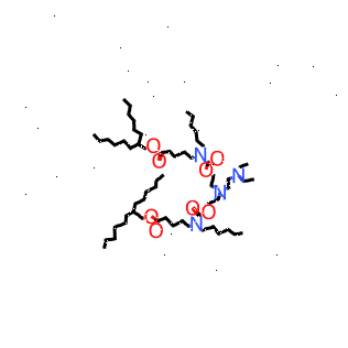 CCCCCCC(CCCCCC)COC(=O)CCCCN(CCCCCC)C(=O)OCCN(CCOC(=O)N(CCCCCC)CCCCC(=O)OCC(CCCCCC)CCCCCC)CCN(CC)CC